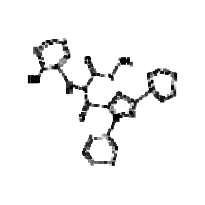 NNC(=O)N(Nc1cccnc1O)C(=O)c1cc(-c2ccccc2)nn1-c1ccccc1